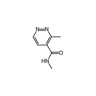 CNC(=O)c1ccnnc1C